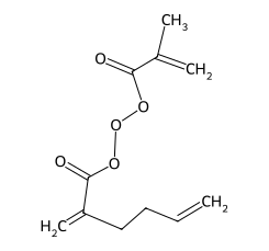 C=CCCC(=C)C(=O)OOOC(=O)C(=C)C